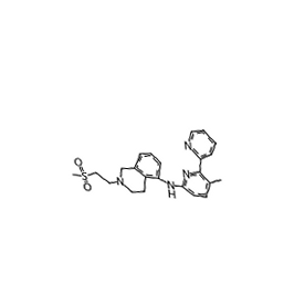 Cc1ccc(Nc2cccc3c2CCN(CCS(C)(=O)=O)C3)nc1-c1ccccn1